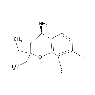 CCC1(CC)C[C@@H](N)c2ccc(Cl)c(Cl)c2O1